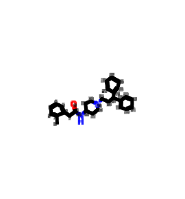 Cc1ccccc1CC(=O)NC1CCN(CCC(c2ccccc2)c2ccccc2)CC1